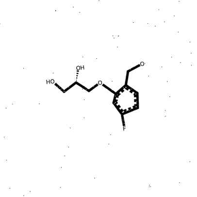 [O]Cc1ccc(F)cc1OC[C@@H](O)CO